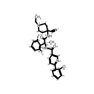 CCN1CCC(C#N)(NC(=O)[C@@](C)(NC(=O)c2ccc(-c3ccccc3Cl)nc2)c2c(F)cccc2F)CC1